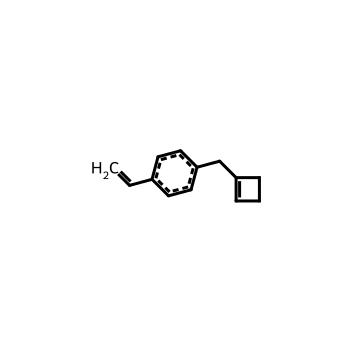 C=Cc1ccc(CC2=CCC2)cc1